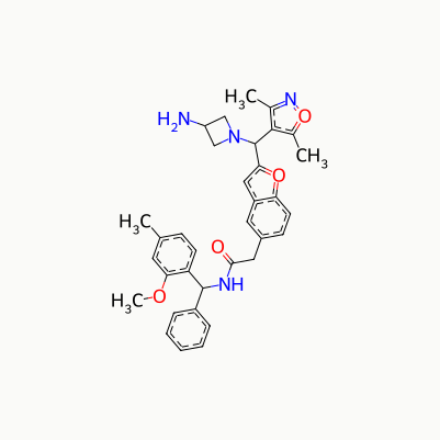 COc1cc(C)ccc1C(NC(=O)Cc1ccc2oc(C(c3c(C)noc3C)N3CC(N)C3)cc2c1)c1ccccc1